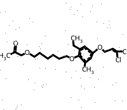 CCc1cc(OCC=C(Cl)Cl)cc(C)c1OCCCCCCOCC(C)=O